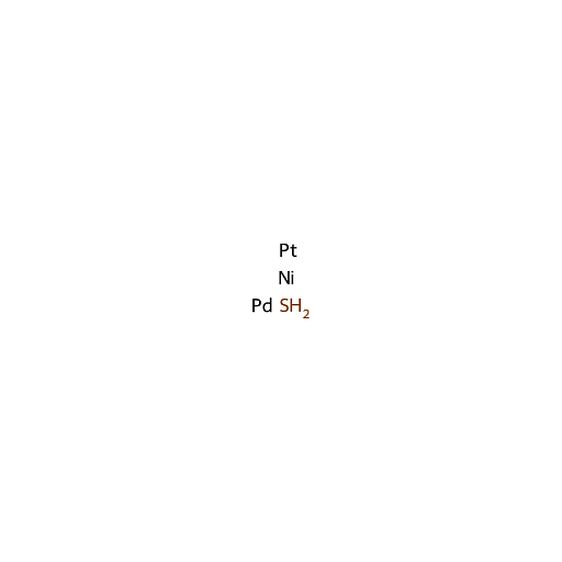 S.[Ni].[Pd].[Pt]